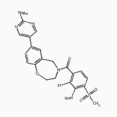 CCc1c(C(=O)N2CCOc3ccc(-c4cnc(NC)nc4)cc3C2)ccc(S(C)(=O)=O)c1NC